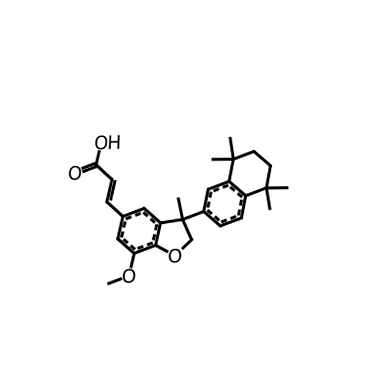 COc1cc(C=CC(=O)O)cc2c1OCC2(C)c1ccc2c(c1)C(C)(C)CCC2(C)C